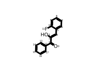 O=C(C(O)=Cc1ccccc1F)c1ccccc1